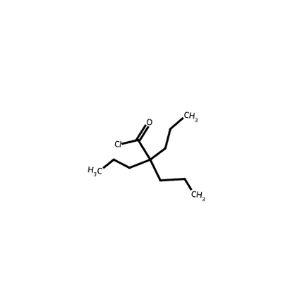 CCCC(CCC)(CCC)C(=O)Cl